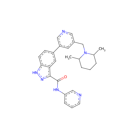 CC1CCCC(C)N1Cc1cncc(-c2ccc3[nH]nc(C(=O)Nc4cccnc4)c3c2)c1